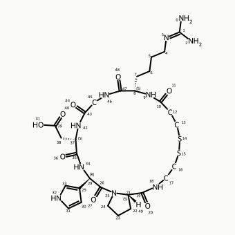 NC(N)=NCCCC[C@@H]1NC(=O)CCSSCCNC(=O)[C@@H]2CCCN2C(=O)[C@@H](c2cc[nH]c2)NC(=O)[C@H](CC(=O)O)NC(=O)CNC1=O